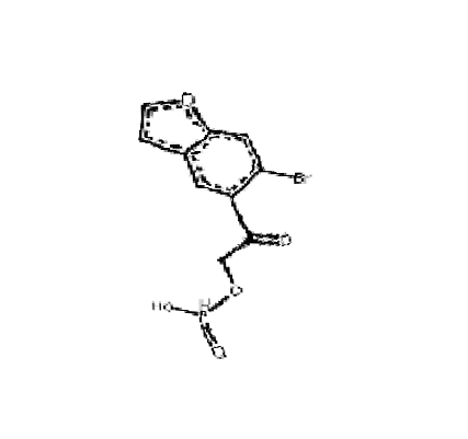 O=C(CO[PH](=O)O)c1cc2ccoc2cc1Br